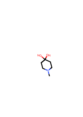 CN1CCC(O)(O)CC1